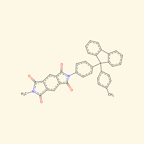 Cc1ccc(C2(c3ccc(-n4c(=O)c5cc6c(=O)n(C)c(=O)c6cc5c4=O)cc3)c3ccccc3-c3ccccc32)cc1